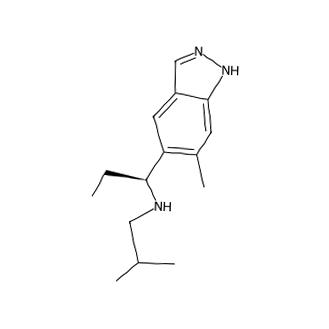 CC[C@H](NCC(C)C)c1cc2cn[nH]c2cc1C